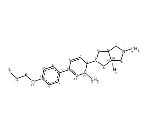 CN1CC2CN(C3C=CC(c4ccc(OCCF)cc4)=NN3C)C[C@@H]2C1